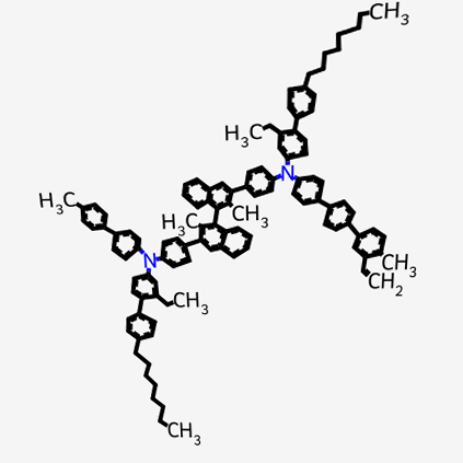 C=Cc1cc(-c2ccc(-c3ccc(N(c4ccc(-c5cc6ccccc6c(-c6c(C)c(-c7ccc(N(c8ccc(-c9ccc(C)cc9)cc8)c8ccc(-c9ccc(CCCCCCCC)cc9)c(CC)c8)cc7)cc7ccccc67)c5C)cc4)c4ccc(-c5ccc(CCCCCCCC)cc5)c(CC)c4)cc3)cc2)ccc1C